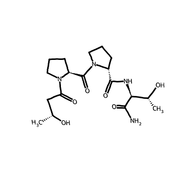 C[C@@H](O)CC(=O)N1CCC[C@H]1C(=O)N1CCC[C@@H]1C(=O)N[C@H](C(N)=O)[C@@H](C)O